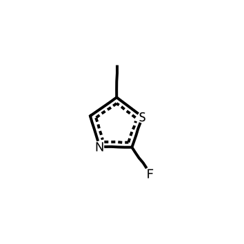 Cc1cnc(F)s1